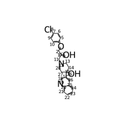 O[C@H](COc1ccc(Cl)cc1)CN1CCC(O)(c2cnc3ccccc3c2)CC1